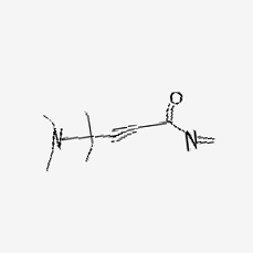 C=NC(=O)C#CC(C)(C)N(C)C